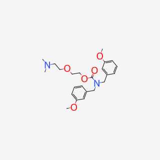 COc1cccc(CN(Cc2cccc(OC)c2)C(=O)OCCOCCN(C)C)c1